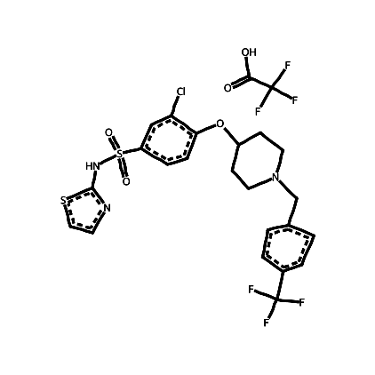 O=C(O)C(F)(F)F.O=S(=O)(Nc1nccs1)c1ccc(OC2CCN(Cc3ccc(C(F)(F)F)cc3)CC2)c(Cl)c1